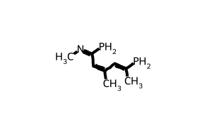 C\N=C(P)/C=C(C)\C=C(/C)P